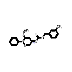 CCCOc1c/c(=N\C(=O)OCc2cccc(C(F)(F)F)c2)cnn1-c1ccccc1